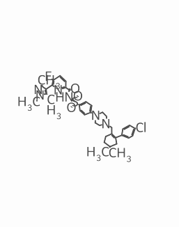 Cc1nn(C)c(C)c1-c1nc(C(=O)NS(=O)(=O)c2ccc(N3CCN(CC4=C(c5ccc(Cl)cc5)CC(C)(C)CC4)CC3)cc2)ccc1F